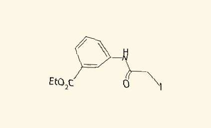 CCOC(=O)c1cccc(NC(=O)CI)c1